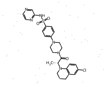 C[C@H](C(=O)N1CCN(c2ccc(S(=O)(=O)Nc3cnccn3)cc2)CC1)N1CCCc2cc(Cl)ccc21